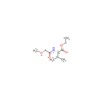 CCOC(=O)[C@@H](NC(=O)COC)C(C)C